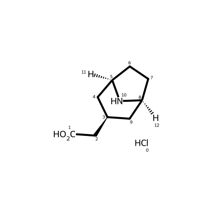 Cl.O=C(O)C[C@H]1C[C@H]2CC[C@@H](C1)N2